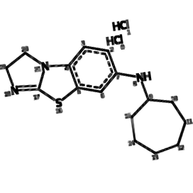 Cl.Cl.c1cc2c(cc1NC1CCCCCC1)SC1=NCCN12